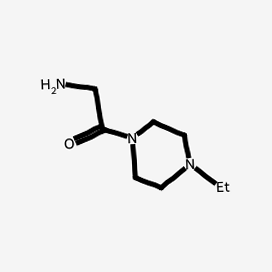 CCN1CCN(C(=O)CN)CC1